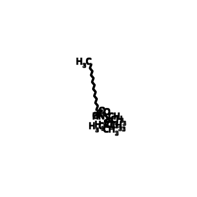 CCCCCCCCCCCCCCCS(=O)(=O)NC(=O)C(C)(CC(C)(C)C)C(C)(C)C